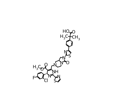 COC(=O)C1=C(CN2CCN3C(=O)N(c4nc(-c5ccc(C(C)(C)C(=O)O)cc5)cs4)CC3C2)NC(c2nccs2)=N[C@H]1c1ccc(F)cc1Cl